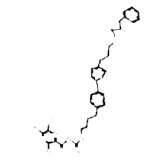 N=C(NCCCCc1ccc(-c2ccc(CCCNC(=O)C(N)Cc3ccccc3)cc2)cc1)NC(=O)c1nc(Cl)c(N)nc1N